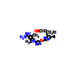 CCOC(=O)Cc1cc(C2CC2)cn2cc(COc3cc(NCc4c(C)cc(C(=N)N)cc4C)ncn3)nc12.O=CO